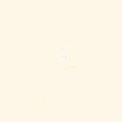 Br.OC12N=C(c3ccccc3)SC1Cc1cc(Cl)ccc12